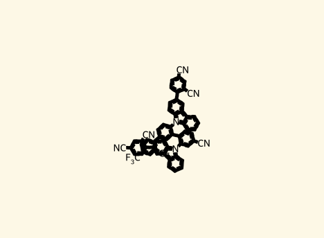 N#Cc1ccc(-c2ccc3c(c2)c2ccccc2n3-c2ccc(-c3ccc(C(F)(F)F)cc3C(F)(F)F)cc2-c2ccc(C#N)cc2-n2c3ccccc3c3cc(-c4ccc(C#N)cc4C#N)ccc32)c(C#N)c1